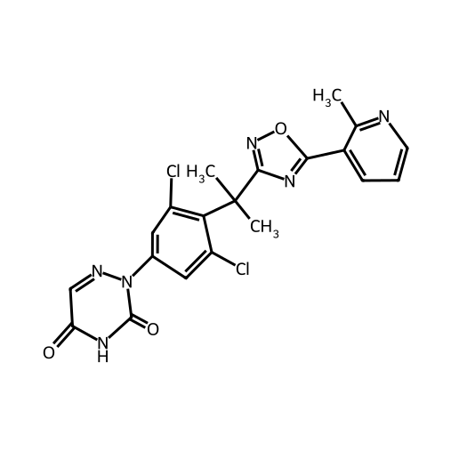 Cc1ncccc1-c1nc(C(C)(C)c2c(Cl)cc(-n3ncc(=O)[nH]c3=O)cc2Cl)no1